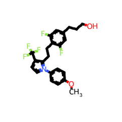 COc1ccc(-n2ccc(C(F)(F)F)c2CCc2c(F)cc(CCCO)cc2F)cc1